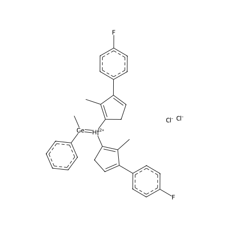 CC1=[C]([Hf+2]([C]2=C(C)C(c3ccc(F)cc3)=CC2)=[Ge]([CH3])[c]2ccccc2)CC=C1c1ccc(F)cc1.[Cl-].[Cl-]